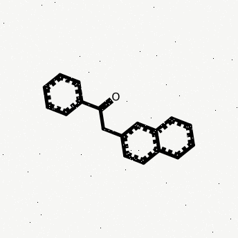 O=C(Cc1ccc2ccccc2c1)c1ccccc1